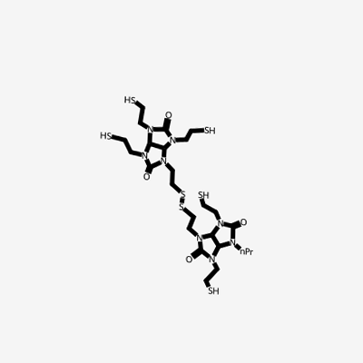 CCCN1C(=O)N(CCS)C2C1N(CCS)C(=O)N2CCSSCCN1C(=O)N(CCS)C2C1N(CCS)C(=O)N2CCS